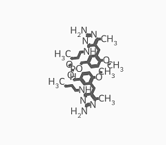 CCCCNc1nc(N)nc(C)c1Cc1cc(CO[PH](=O)OCc2ccc(OC)c(Cc3c(C)nc(N)nc3NCCCC)c2)ccc1OC